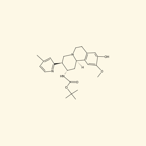 COc1cc2c(cc1O)CCN1C[C@H](c3cc(C)ccn3)[C@@H](NC(=O)OC(C)(C)C)C[C@H]21